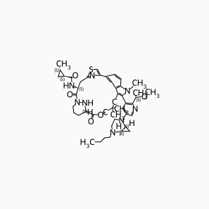 CCCCN1CCN(c2cnc([C@H](C)OC)c(-c3c4c5cc(ccc5n3CC)-c3csc(n3)C[C@H](NC(=O)[C@H]3C[C@@H]3C)C(=O)N3CCC[C@H](N3)C(=O)OCC(C)(C)C4)c2)[C@H]2C[C@H]21